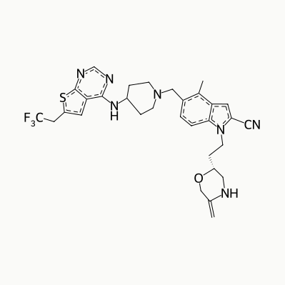 C=C1CO[C@H](CCn2c(C#N)cc3c(C)c(CN4CCC(Nc5ncnc6sc(CC(F)(F)F)cc56)CC4)ccc32)CN1